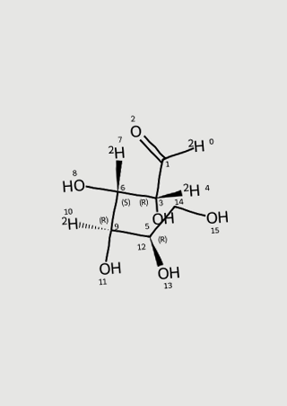 [2H]C(=O)[C@]([2H])(O)[C@@]([2H])(O)[C@]([2H])(O)[C@H](O)CO